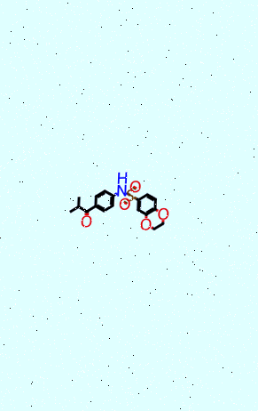 CC(C)C(=O)c1ccc(NS(=O)(=O)c2ccc3c(c2)OCCO3)cc1